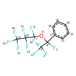 FC(F)(F)C(F)(OC(F)(F)C(F)(F)C(F)(F)F)c1ccccc1